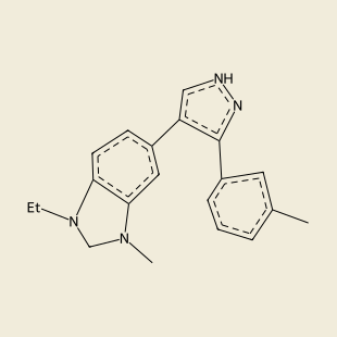 CCN1CN(C)c2cc(-c3c[nH]nc3-c3cccc(C)c3)ccc21